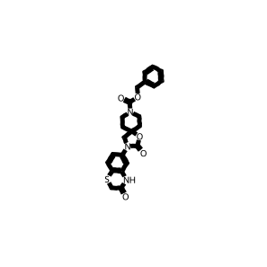 O=C1CSc2ccc(N3CC4(CCN(C(=O)OCc5ccccc5)CC4)OC3=O)cc2N1